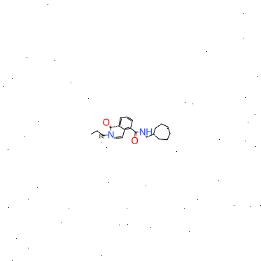 CC[C@@H](C)n1ccc2c(C(=O)NCC3CCCCCC3)cccc2c1=O